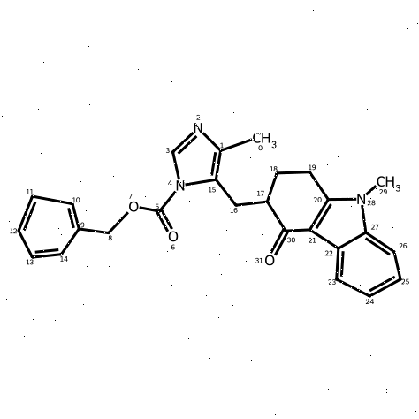 Cc1ncn(C(=O)OCc2ccccc2)c1CC1CCc2c(c3ccccc3n2C)C1=O